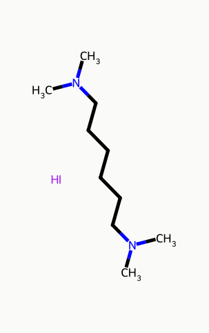 CN(C)CCCCCCN(C)C.I